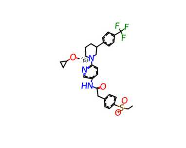 CCS(=O)(=O)c1ccc(CC(=O)Nc2ccc(N3CC(c4ccc(C(F)(F)F)cc4)CC[C@H]3COC3CC3)nc2)cc1